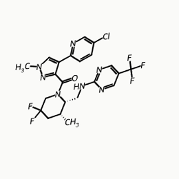 C[C@@H]1CC(F)(F)CN(C(=O)c2nn(C)cc2-c2ccc(Cl)cn2)[C@@H]1CNc1ncc(C(F)(F)F)cn1